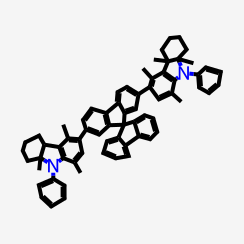 Cc1cc(-c2ccc3c(c2)C2(c4ccccc4-c4ccccc42)c2cc(-c4cc(C)c5c(c4C)C4(C)CCCCC4(C)N5c4ccccc4)ccc2-3)c(C)c2c1N(c1ccccc1)C1(C)CCCCC21